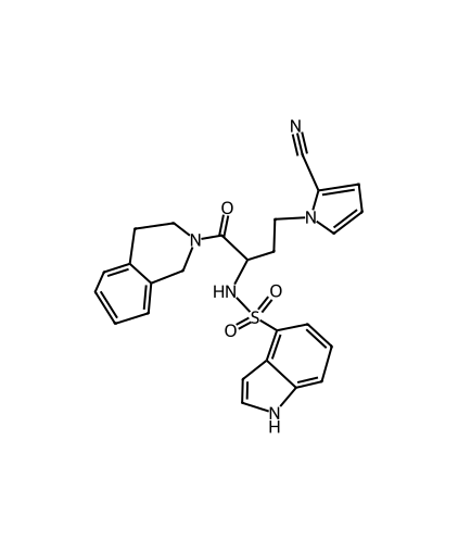 N#Cc1cccn1CCC(NS(=O)(=O)c1cccc2[nH]ccc12)C(=O)N1CCc2ccccc2C1